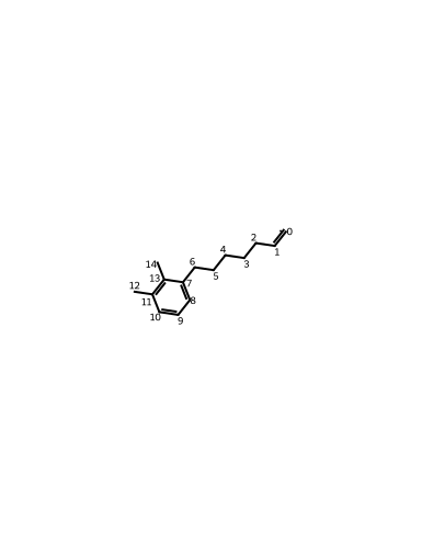 [CH]=CCCCCCc1cccc(C)c1C